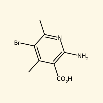 Cc1nc(N)c(C(=O)O)c(C)c1Br